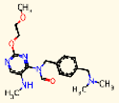 CNc1cnc(OCCOC)nc1N(C=O)Cc1ccc(CN(C)C)cc1